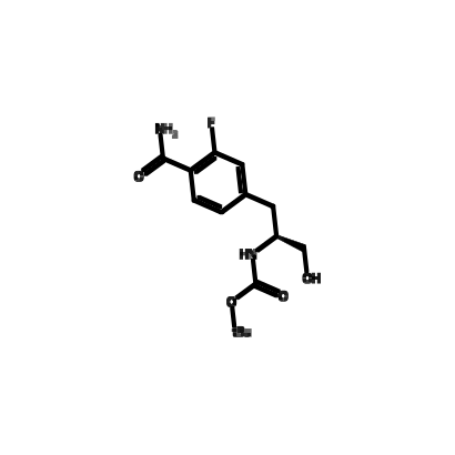 CC(C)(C)OC(=O)N[C@H](CO)Cc1ccc(C(N)=O)c(F)c1